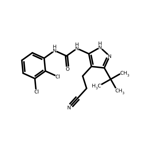 CC(C)(C)c1n[nH]c(NC(=O)Nc2cccc(Cl)c2Cl)c1CCC#N